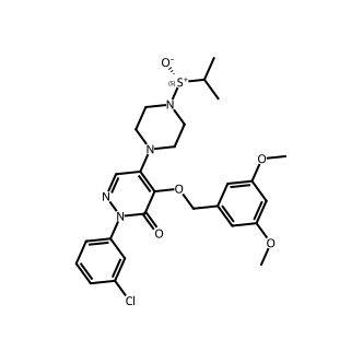 COc1cc(COc2c(N3CCN([S@+]([O-])C(C)C)CC3)cnn(-c3cccc(Cl)c3)c2=O)cc(OC)c1